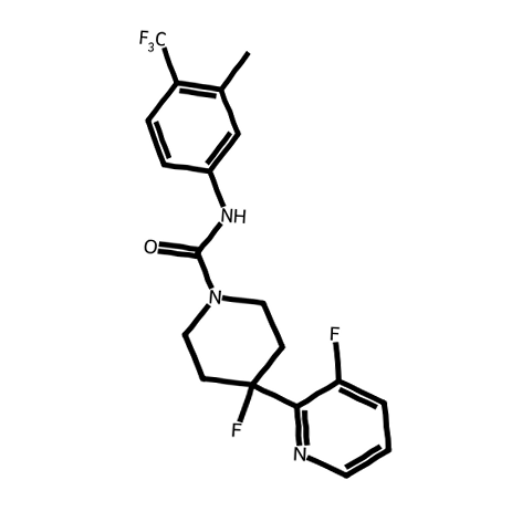 Cc1cc(NC(=O)N2CCC(F)(c3ncccc3F)CC2)ccc1C(F)(F)F